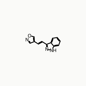 C(=Cc1n[nH]c2ccccc12)c1cnoc1